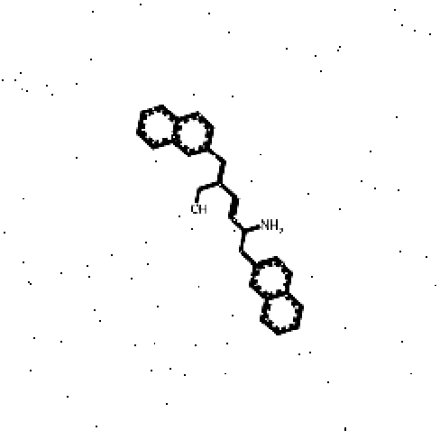 NC(C=CC(CO)Cc1ccc2ccccc2c1)Cc1ccc2ccccc2c1